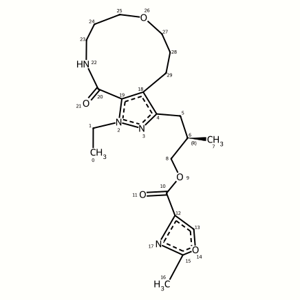 CCn1nc(C[C@@H](C)COC(=O)c2coc(C)n2)c2c1C(=O)NCCCOCCC2